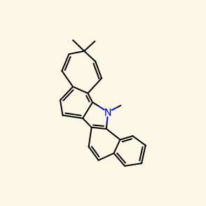 Cn1c2c3c(ccc2c2ccc4ccccc4c21)C=CC(C)(C)C=C3